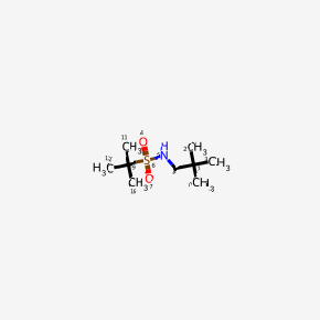 CC(C)(C)CNS(=O)(=O)C(C)(C)C